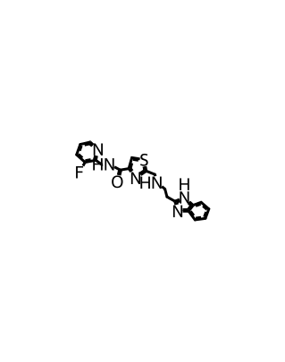 O=C(NCc1ncccc1F)c1csc(CNCCc2nc3ccccc3[nH]2)n1